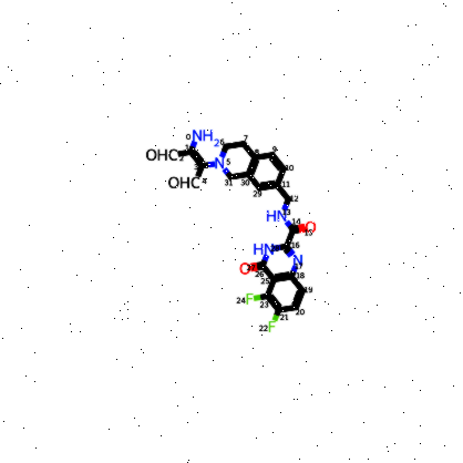 N/C(C=O)=C(/C=O)N1CCc2ccc(CNC(=O)c3nc4ccc(F)c(F)c4c(=O)[nH]3)cc2C1